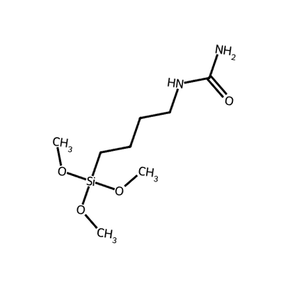 CO[Si](CCCCNC(N)=O)(OC)OC